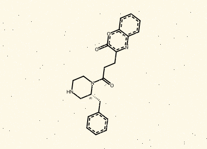 O=C(CCc1nc2ccccc2oc1=O)N1CCNC[C@H]1Cc1ccccc1